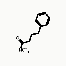 O=C(CCCc1ccccc1)NC(F)(F)F